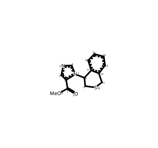 COC(=O)c1cncn1C1CSCc2ccccc21